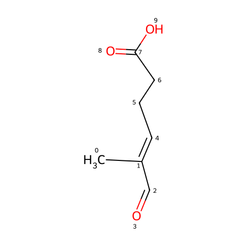 C/C(C=O)=C\CCC(=O)O